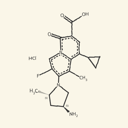 Cc1c(N2C[C@@H](N)C[C@@H]2C)c(F)cn2c(=O)c(C(=O)O)cc(C3CC3)c12.Cl